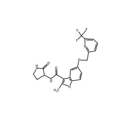 Cc1oc2ccc(OCc3cccc(C(F)(F)F)n3)cc2c1C(=O)NC1CCNC1=O